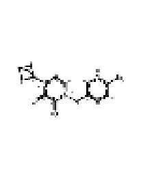 O=c1c(=O)n(C23CC(C2)C3)ccn1Cc1ccc(Br)nc1